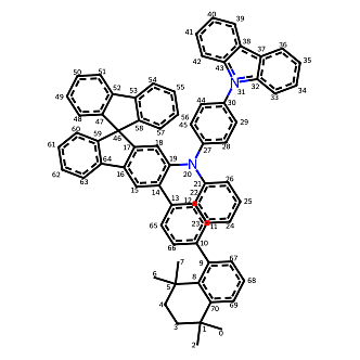 CC1(C)CCC(C)(C)c2c(-c3ccc(-c4cc5c(cc4N(c4ccccc4)c4ccc(-n6c7ccccc7c7ccccc76)cc4)C4(c6ccccc6-c6ccccc64)c4ccccc4-5)cc3)cccc21